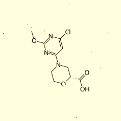 COc1nc(Cl)cc(N2CCO[C@@H](C(=O)O)C2)n1